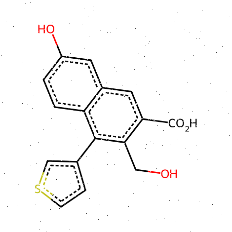 O=C(O)c1cc2cc(O)ccc2c(-c2ccsc2)c1CO